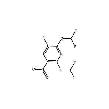 O=[N+]([O-])c1cc(F)c(OC(F)F)nc1OC(F)F